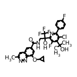 Cc1cc2cc(C(=O)NCC(O)(c3nc(-c4ccc(F)cc4)c(Cl)c(C(C)(C)O)c3F)C(F)(F)F)cc(OC3CC3)c2nn1